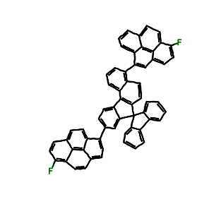 Fc1ccc2ccc3c(-c4ccc5c(c4)C4(c6ccccc6-c6ccccc64)c4ccc6c(-c7cc8ccc(F)c9ccc%10cccc7c%10c89)cccc6c4-5)ccc4ccc1c2c43